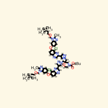 Cc1nc2ccc(Oc3ccc4ncc(-c5cnn(CC6(Cn7cc(-c8cnc9ccc(Oc%10ccc%11nc(C)n(COCC[Si](C)(C)C)c%11c%10)c(Cl)c9n8)cn7)CN(C(=O)OC(C)(C)C)CCO6)c5)nc4c3Cl)cc2n1COCC[Si](C)(C)C